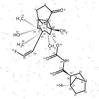 C[C@@H]1CCC23CCC(=O)C2[C@]1(C)[C@H](OC(=O)NC(=O)[C@H]1CN2CC[C@@H]1C2)C[C@@](C)(/C=C\F)[C@@H](O)[C@@H]3C